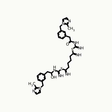 Cc1nccn1Cc1cccc(CC(=O)NC(=N)SC(=N)CCCCC(=N)SC(=N)NC(O)Cc2cccc(Cn3ccnc3C)c2)c1